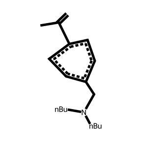 C=C(C)c1ccc(CN(CCCC)CCCC)cc1